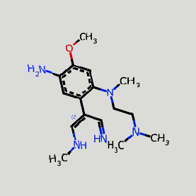 CN/C=C(\C=N)c1cc(N)c(OC)cc1N(C)CCN(C)C